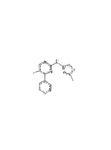 Cc1cnc(Nc2cnn(C)c2)nc1-c1ccncc1